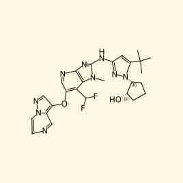 Cn1c(Nc2cc(C(C)(C)C)n([C@@H]3CCC[C@@H]3O)n2)nc2ncc(Oc3cnn4ccncc34)c(C(F)F)c21